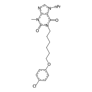 CCCn1cnc2c1c(=O)n(CCCCCCOc1ccc(Cl)cc1)c(=O)n2C